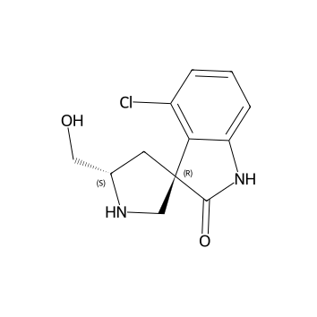 O=C1Nc2cccc(Cl)c2[C@]12CN[C@H](CO)C2